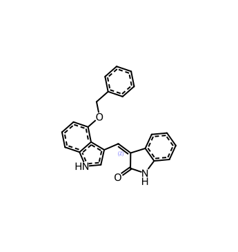 O=C1Nc2ccccc2/C1=C/c1c[nH]c2cccc(OCc3ccccc3)c12